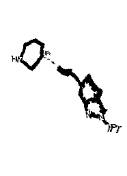 CC(C)n1cc2ccc(C#C[C@H]3CCCNC3)cc2n1